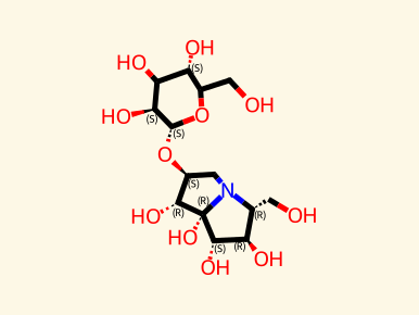 OCC1O[C@H](O[C@H]2CN3[C@H](CO)[C@@H](O)[C@H](O)[C@@]3(O)[C@@H]2O)[C@@H](O)C(O)[C@@H]1O